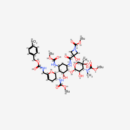 CN(C(=O)OC(C)(C)C)[C@@H]1[C@@H](O)[C@@H](O[C@H]2[C@H](NC(=O)C3(O)CN(C(=O)OC(C)(C)C)C3)C[C@H](NC(=O)OC(C)(C)C)C([C@H]3OC(CNC(=O)OCc4ccc([N+](=O)[O-])cc4)=CC[C@H]3NC(=O)OC(C)(C)C)[C@@H]2O)OC[C@]1(C)O